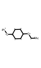 CC(=O)COC1CCC(OC(C)C)CC1